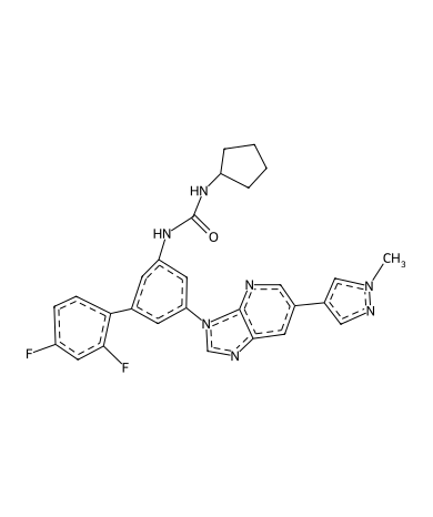 Cn1cc(-c2cnc3c(c2)ncn3-c2cc(NC(=O)NC3CCCC3)cc(-c3ccc(F)cc3F)c2)cn1